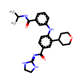 CC(C)NC(=O)c1cccc(Nc2ccc(C(=O)N=C3NCCN3)cc2C2CCOCC2)c1